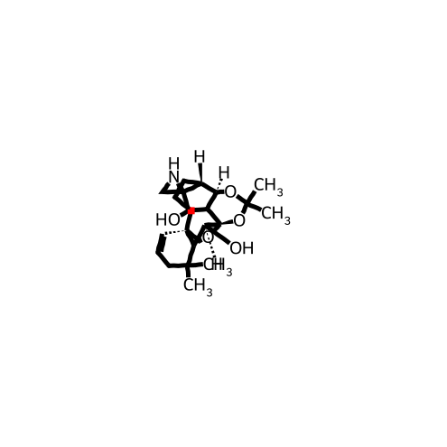 CC1(C)O[C@@H]2[C@H]3CCC4[C@]56C=CCC(C)(C)C5[C@H](O)[C@](OC6)(O1)[C@]42C(O)C31CN1